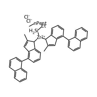 CCCCCC.CC[SiH2][Zr+2]([CH]1C(C)=Cc2c(-c3cccc4ccccc34)cccc21)[CH]1C(C)=Cc2c(-c3cccc4ccccc34)cccc21.[Cl-].[Cl-]